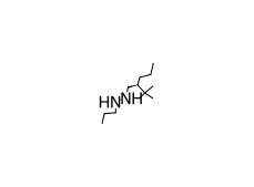 CCCNNC[C@@H](CCC)C(C)(C)C